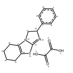 O=C(O)C(=O)O.c1ccc(C2CN3C(=N2)SC2=C3CCCC2)cc1